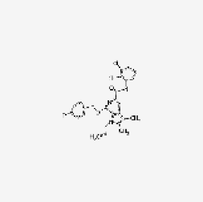 C=CCn1c(C)c(C)c2cc(C(=O)Nc3cccc(Cl)c3Cl)nc(OCc3ccc(F)cc3)c21